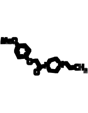 C=CCN1CCN(C(=O)COc2ccc(OC)cc2)CC1